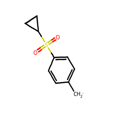 [CH2]c1ccc(S(=O)(=O)C2CC2)cc1